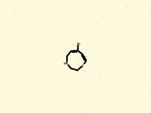 CC(=O)C1=C/CNCCC/C=C\1